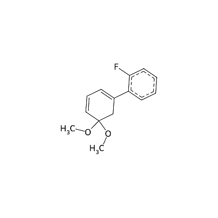 COC1(OC)C=CC=C(c2ccccc2F)C1